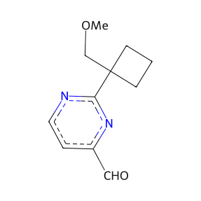 COCC1(c2nccc(C=O)n2)CCC1